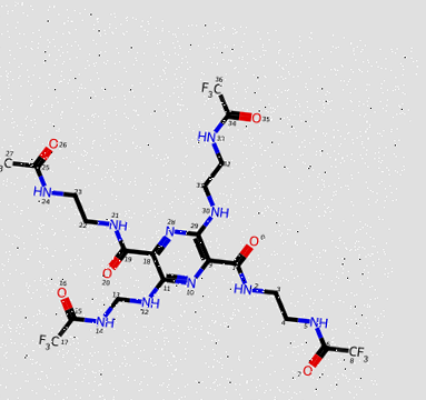 O=C(NCCNC(=O)C(F)(F)F)c1nc(NCNC(=O)C(F)(F)F)c(C(=O)NCCNC(=O)C(F)(F)F)nc1NCCNC(=O)C(F)(F)F